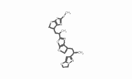 CSc1nc2c(s1)OCC2CC(C)c1nc2c(o1)OCC2CC(C)c1cc2n(n1)CCO2